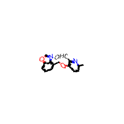 Cc1ccc(OCc2cccc3ocnc23)c(C=O)n1